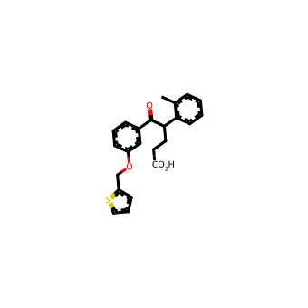 Cc1ccccc1C(CCC(=O)O)C(=O)c1cccc(OCc2cccs2)c1